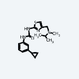 CC(C)N(C)Cc1csc(NC(=O)Nc2cccc(C3CC3)c2)n1